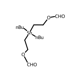 CCC[CH2][Sn]([CH2]CCC)([CH2]COC=O)[CH2]COC=O